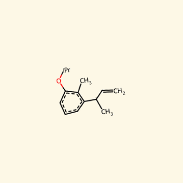 C=C[C](C)c1cccc(OC(C)C)c1C